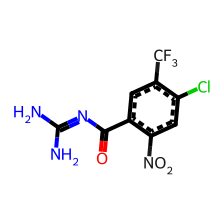 NC(N)=NC(=O)c1cc(C(F)(F)F)c(Cl)cc1[N+](=O)[O-]